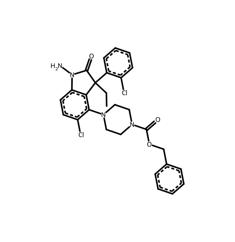 CCC1(c2ccccc2Cl)C(=O)N(N)c2ccc(Cl)c(N3CCN(C(=O)OCc4ccccc4)CC3)c21